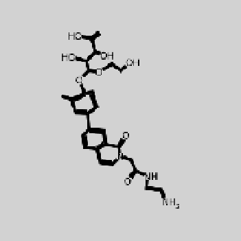 C=C(O)C(O)C(O)C(OCCO)Oc1ccc(-c2ccc3ccn(CC(=O)NCCN)c(=O)c3c2)cc1C